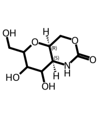 O=C1N[C@H]2C(O)C(O)C(CO)O[C@H]2CO1